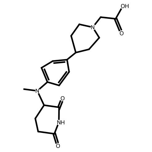 CN(c1ccc(C2CCN(CC(=O)O)CC2)cc1)C1CCC(=O)NC1=O